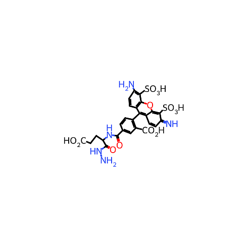 N=c1ccc2c(-c3ccc(C(=O)NC(CCC(=O)O)C(=O)NN)cc3C(=O)O)c3ccc(N)c(S(=O)(=O)O)c3oc-2c1S(=O)(=O)O